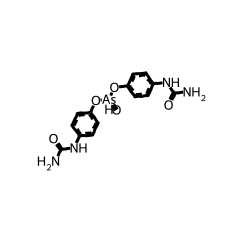 NC(=O)Nc1ccc(O[AsH](=O)Oc2ccc(NC(N)=O)cc2)cc1